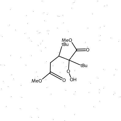 COC(=O)CC(C(C)(C)C)C(OO)(C(=O)OC)C(C)(C)C